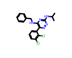 CC(C)Nc1nnc(-c2cccc(Cl)c2Cl)c(NCc2ccccc2)n1